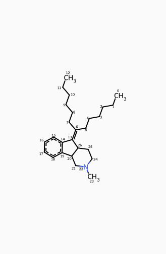 CCCCCCC(CCCCCC)=C1c2ccccc2C2CN(C)CCC12